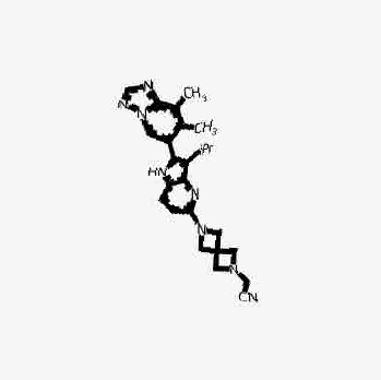 Cc1c(-c2[nH]c3ccc(N4CC5(CN(CC#N)C5)C4)nc3c2C(C)C)cn2ncnc2c1C